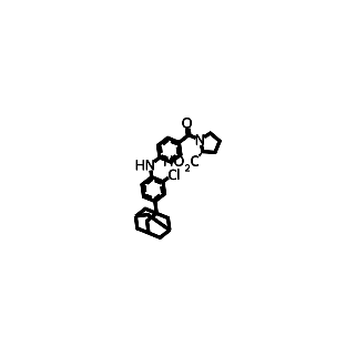 O=C(O)[C@H]1CCCN1C(=O)c1ccc(Nc2ccc(C34CC5CC(CC(C5)C3)C4)cc2Cl)cc1